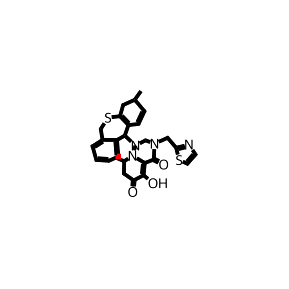 CC1C=CC2=C(C1)SCc1ccccc1C2N1CN(Cc2nccs2)C(=O)C2=C(O)C(=O)CC(C)N21